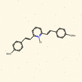 CC[n+]1c(/C=C/c2ccc(SC)cc2)cccc1/C=C/c1ccc(SC)cc1